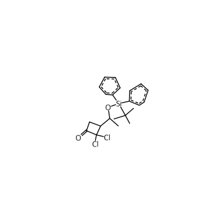 CC(O[Si](c1ccccc1)(c1ccccc1)C(C)(C)C)C1CC(=O)C1(Cl)Cl